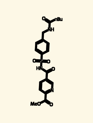 CCCCC(=O)NCc1ccc(S(=O)(=O)NC(=O)c2ccc(C(=O)OC)nc2)cc1